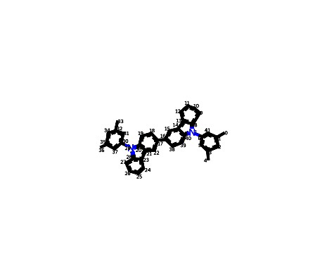 Cc1cc(C)cc(-n2c3ccccc3c3cc(-c4ccc5c(c4)c4ccccc4n5-c4cc(C)cc(C)c4)ccc32)c1